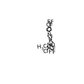 Cc1c(Cl)c(C(F)(F)F)nn1CC(C=O)N1CCN(c2ccc(OC(F)(F)F)cc2)CC1